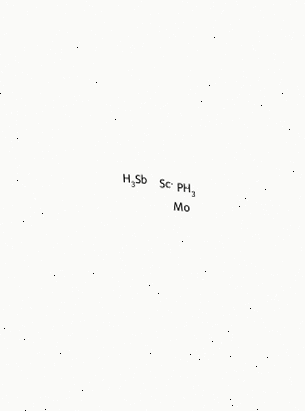 P.[Mo].[SbH3].[Sc]